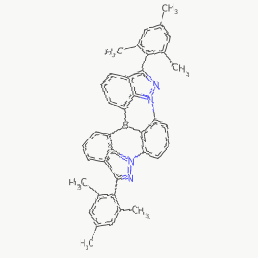 Cc1cc(C)c(-c2nn3c4c(cccc24)B2c4c-3cccc4-n3nc(-c4c(C)cc(C)cc4C)c4cccc2c43)c(C)c1